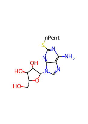 CCCCCSc1nc(N)c2ncn([C@@H]3O[C@H](CO)[C@@H](O)[C@H]3O)c2n1